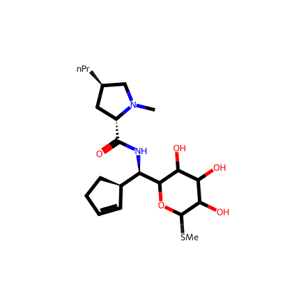 CCC[C@@H]1C[C@@H](C(=O)N[C@@H](C2OC(SC)C(O)C(O)C2O)[C@H]2C=CCC2)N(C)C1